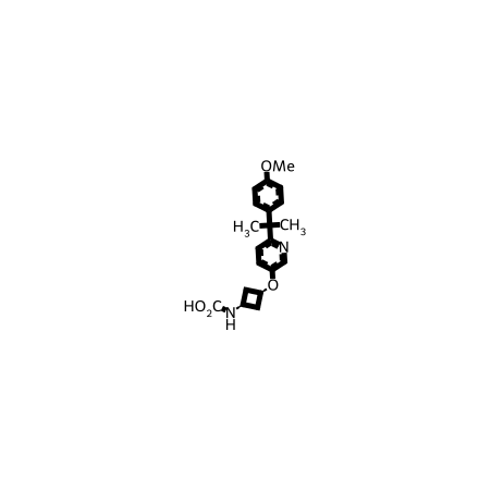 COc1ccc(C(C)(C)c2ccc(O[C@H]3C[C@@H](NC(=O)O)C3)cn2)cc1